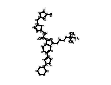 C[Si](C)(C)CCOCn1nc(C(=O)Nc2cnn(Cc3csc(Cl)n3)c2)c2ccc(-c3cnn(C4CCCCO4)c3)cc21